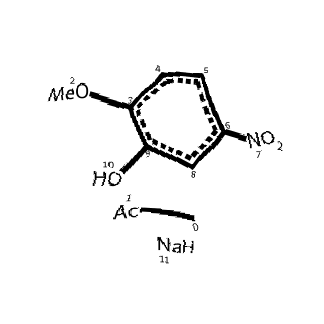 CC(C)=O.COc1ccc([N+](=O)[O-])cc1O.[NaH]